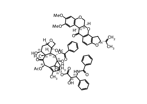 C=C(C)[C@H]1Cc2c(ccc3c2O[C@@H]2COc4cc(OC)c(OC)cc4[C@@H]2C3=O)O1.CC(=O)O[C@H]1C(=O)[C@@]2(C)[C@H]([C@H](OC(=O)c3ccccc3)[C@]3(O)C[C@H](OC(=O)[C@H](O)[C@@H](NC(=O)c4ccccc4)c4ccccc4)C(C)=C1C3(C)C)[C@]1(OC(C)=O)CO[C@@H]1C[C@@H]2O